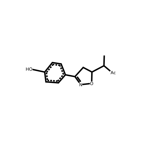 CC(=O)C(C)C1CC(c2ccc(O)cc2)=NO1